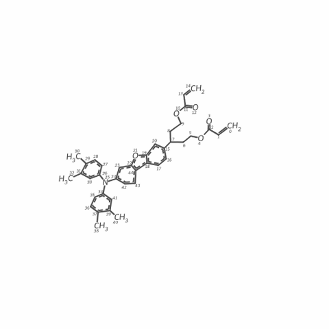 C=CC(=O)OCCC(CCOC(=O)C=C)c1ccc2c(c1)oc1cc(N(c3ccc(C)c(C)c3)c3ccc(C)c(C)c3)ccc12